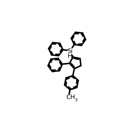 Cc1ccc(C2=C(c3ccccc3)C([SiH](c3ccccc3)c3ccccc3)=CC2)cc1